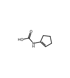 O=C(O)NC1=CCCC1